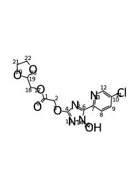 O=C(COc1nc(-c2ccc(Cl)cn2)n(O)n1)OCC1OCCO1